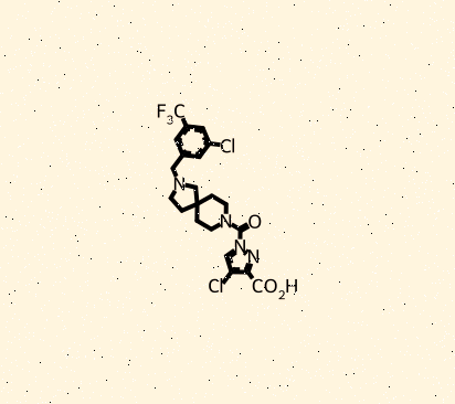 O=C(O)c1nn(C(=O)N2CCC3(CCN(Cc4cc(Cl)cc(C(F)(F)F)c4)C3)CC2)cc1Cl